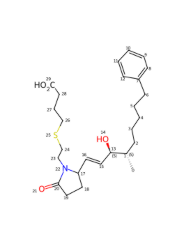 C[C@@H](CCCCCc1ccccc1)[C@H](O)C=CC1CCC(=O)N1CCSCCCC(=O)O